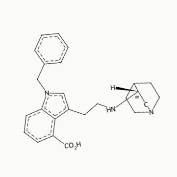 O=C(O)c1cccc2c1c(CCN[C@H]1CN3CCC1CC3)cn2Cc1ccccc1